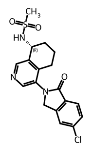 CS(=O)(=O)N[C@@H]1CCCc2c1cncc2N1Cc2cc(Cl)ccc2C1=O